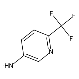 [NH]c1ccc(C(F)(F)F)nc1